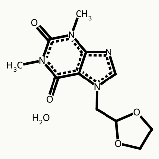 Cn1c(=O)c2c(ncn2CC2OCCO2)n(C)c1=O.O